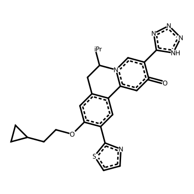 CC(C)C1Cc2cc(OCCC3CC3)c(-c3nccs3)cc2-c2cc(=O)c(-c3nnn[nH]3)cn21